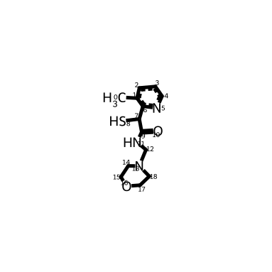 Cc1cccnc1C(S)C(=O)NCN1CCOCC1